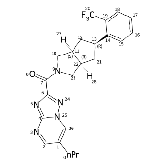 CCCc1cnc2nc(C(=O)N3C[C@H]4C[C@@H](c5ccccc5C(F)(F)F)C[C@H]4C3)nn2c1